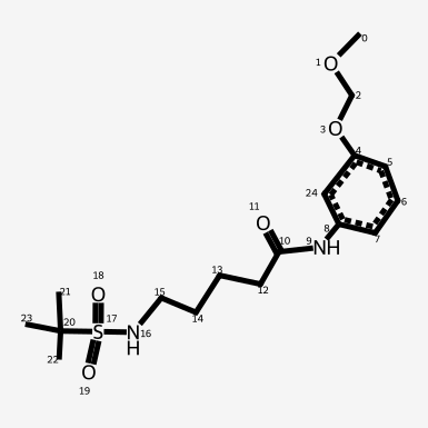 COCOc1cccc(NC(=O)CCCCNS(=O)(=O)C(C)(C)C)c1